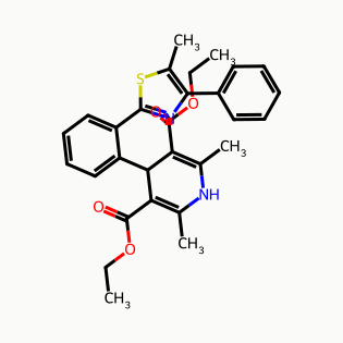 CCOC(=O)C1=C(C)NC(C)=C(C(=O)OCC)C1c1ccccc1-c1nc(-c2ccccc2)c(C)s1